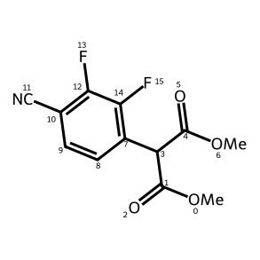 COC(=O)C(C(=O)OC)c1ccc(C#N)c(F)c1F